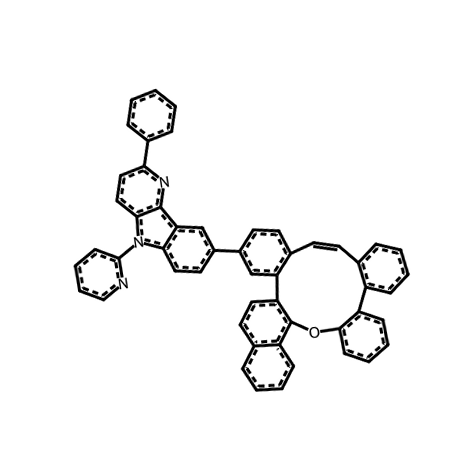 C1=C\c2ccc(-c3ccc4c(c3)c3nc(-c5ccccc5)ccc3n4-c3ccccn3)cc2-c2ccc3ccccc3c2Oc2ccccc2-c2ccccc2/1